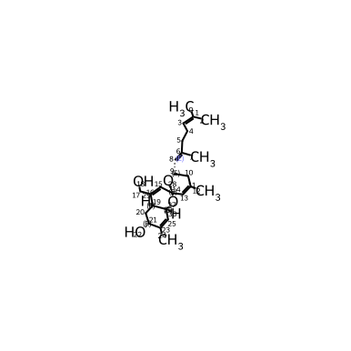 CC(C)=CCC/C(C)=C/[C@@H]1CC(C)=C[C@]2(C=C(CO)[C@H]3C[C@@H](O)C(C)=C[C@H]3O2)O1